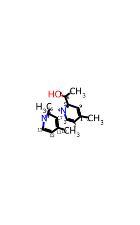 Cc1ccnc(C(C)O)c1.Cc1ccnc(C)c1